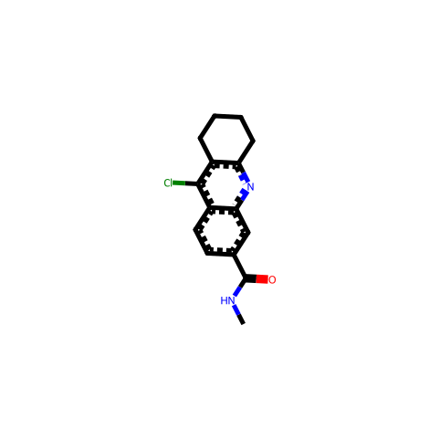 CNC(=O)c1ccc2c(Cl)c3c(nc2c1)CCCC3